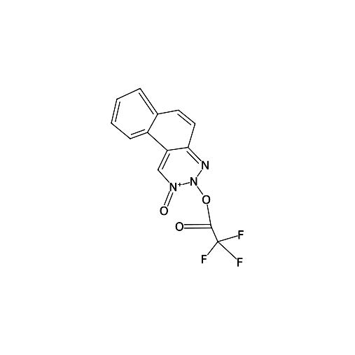 O=C(On1nc2ccc3ccccc3c2c[n+]1=O)C(F)(F)F